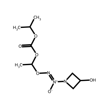 CC(C)OC(=O)OC(C)ON=[N+]([O-])N1CC(O)C1